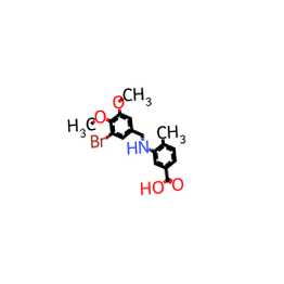 COc1cc(CNc2cc(C(=O)O)ccc2C)cc(Br)c1OC